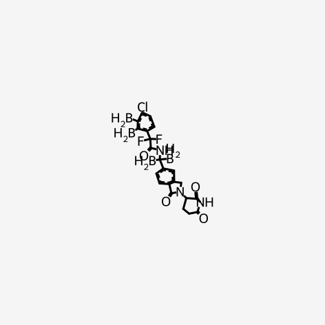 Bc1c(Cl)ccc(C(F)(F)C(=O)NC(B)(B)c2ccc3c(c2)CN(C2CCC(=O)NC2=O)C3=O)c1B